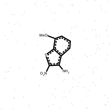 COc1cccc2c(N)c([N+](=O)[O-])sc12